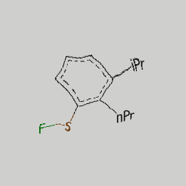 CCCc1c(SF)cccc1C(C)C